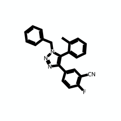 Cc1ccccc1-c1c(-c2ccc(F)c(C#N)c2)nnn1Cc1ccccc1